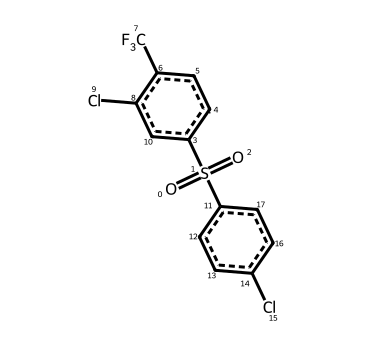 O=S(=O)(c1[c]cc(C(F)(F)F)c(Cl)c1)c1ccc(Cl)cc1